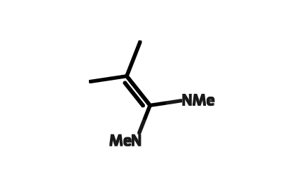 CNC(NC)=C(C)C